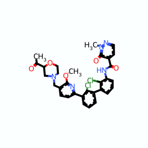 COc1nc(-c2cccc(-c3cccc(NC(=O)c4ccnn(C)c4=O)c3Cl)c2Cl)ccc1CN1CCOC(C(C)=O)C1